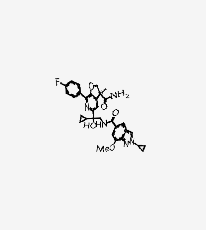 COc1cc(C(=O)NCC(O)(c2cc3c(c(-c4ccc(F)cc4)n2)OC[C@]3(C)C(N)=O)C2CC2)cc2cn(C3CC3)nc12